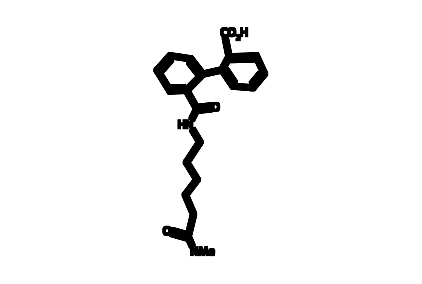 CNC(=O)CCCCCNC(=O)c1ccccc1-c1ccccc1C(=O)O